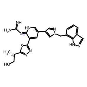 C[C@@H](CO)c1nnc(-c2cc(-c3cnn(Cc4cccc5cn[nH]c45)c3)c[nH]/c2=N\C(=N)N)s1